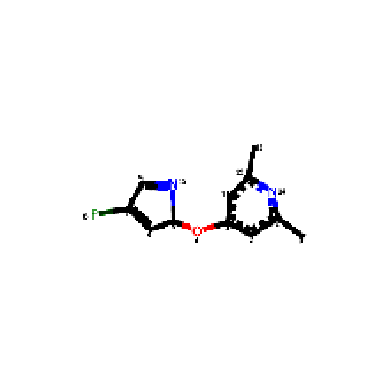 Cc1cc(OC2C=C(F)C=N2)cc(C)n1